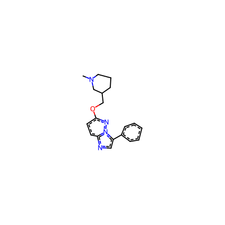 CN1CCCC(COc2ccc3ncc(-c4ccccc4)n3n2)C1